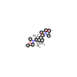 Cc1c2c3c(cccc3c3cc(N(c4ccccc4-c4ccccc4)c4ccccc4-c4ccccc4)ccc13)C(C)(C)c1cc(N(c3ccccc3)c3cccc4c3oc3ccccc34)ccc1-2